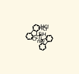 CC[CH2][Ti](=[SiH2])([Cl])([CH]1c2ccccc2-c2ccccc21)[CH]1c2ccccc2-c2ccccc21.Cl.Cl